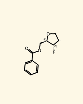 O=C(OC[C@H]1O[CH][CH][C@@H]1F)c1ccccc1